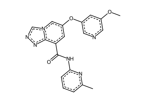 COc1cncc(Oc2cc(C(=O)Nc3cccc(C)n3)c3nncn3c2)c1